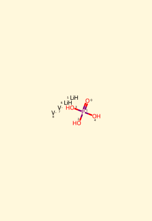 O=P(O)(O)O.[LiH].[LiH].[V].[V]